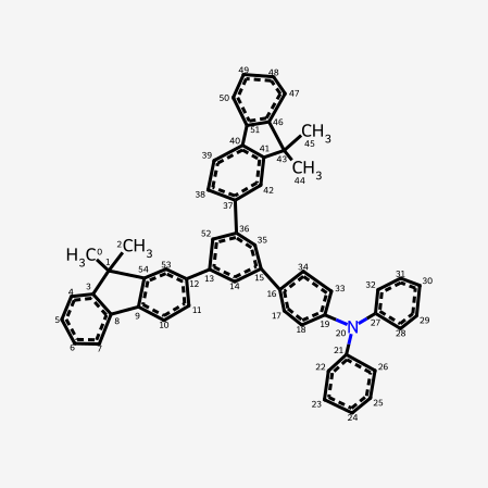 CC1(C)c2ccccc2-c2ccc(-c3cc(-c4ccc(N(c5ccccc5)c5ccccc5)cc4)cc(-c4ccc5c(c4)C(C)(C)c4ccccc4-5)c3)cc21